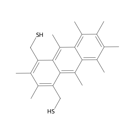 Cc1c(C)c(C)c2c(C)c3c(CS)c(C)c(C)c(CS)c3c(C)c2c1C